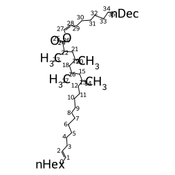 CCCCCCC=CCCCCCCCCCCC(C)CC(C)CC(C)CC(C)C(=O)O/C=C\CCCCCCCCCCCCCCCC